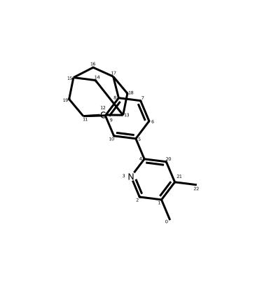 Cc1cnc(-c2ccc3c(c2)C2CC4CC(CC3C4)C2)cc1C